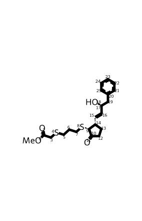 COC(=O)CSCCCS[C@H]1C(=O)CC[C@H]1C=C[C@@H](O)Cc1ccccc1